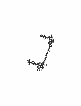 CCc1cnc(Nc2cccc(OCCCOCCCCOCCCOCC(=O)N[C@H](C(=O)N3C[C@H](O)C[C@H]3C(=O)NCc3ccc(-c4scnc4C)cc3)C(C)(C)C)c2)nc1NCCCN(C)C(=O)C1CCC1